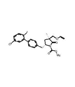 C=COC[C@]1(C)C[C@@H](Cc2ccc(-c3cc(Cl)ccc3F)cc2)N(C(=O)OC(C)(C)C)C1=O